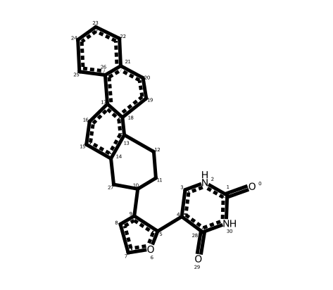 O=c1[nH]cc(-c2occc2C2CCc3c(ccc4c3ccc3ccccc34)C2)c(=O)[nH]1